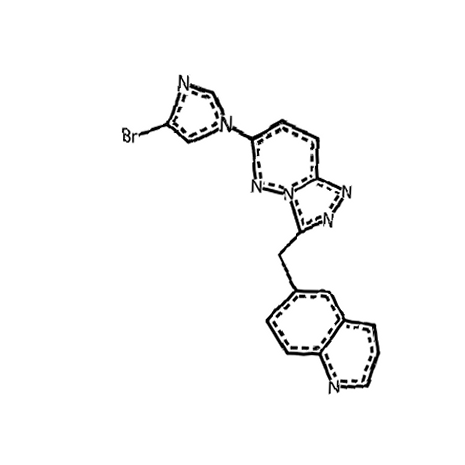 Brc1cn(-c2ccc3nnc(Cc4ccc5ncccc5c4)n3n2)cn1